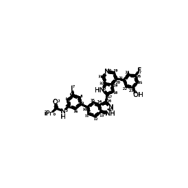 CC(C)C(=O)Nc1cc(I)cc(-c2ccc3[nH]nc(-c4cc5c(-c6cc(O)cc(F)c6)cncc5[nH]4)c3c2)c1